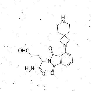 NC(=O)C(CCC=O)N1C(=O)c2cccc(N3CC4(CCNCC4)C3)c2C1=O